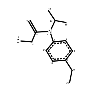 C=C(CCl)N(c1ccc(CC)cc1)C(C)C